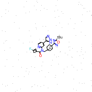 CC(C)(C)c1nc(C23CCC(CN(C(=O)C45CC(F)(C4)C5)c4cc(-c5cn[nH]c5)ccn4)(CC2)CC3)no1